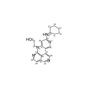 OCCN(c1ccnc(NC2CCCCC2)c1)c1nccc2cnccc12